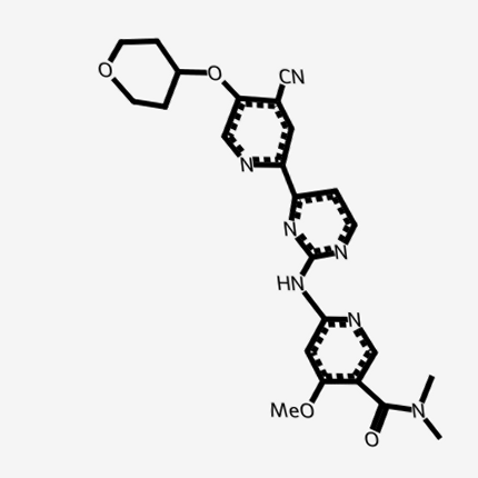 COc1cc(Nc2nccc(-c3cc(C#N)c(OC4CCOCC4)cn3)n2)ncc1C(=O)N(C)C